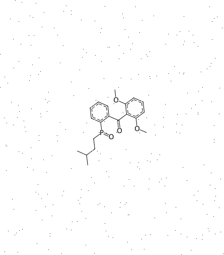 COc1cccc(OC)c1C(=O)c1ccccc1[P](=O)CCC(C)C